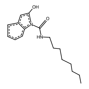 CCCCCCCCNC(=O)n1c(O)cc2ccccc21